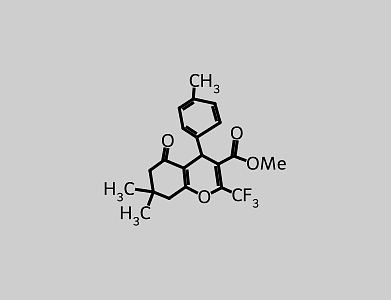 COC(=O)C1=C(C(F)(F)F)OC2=C(C(=O)CC(C)(C)C2)C1c1ccc(C)cc1